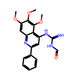 COc1cc2nc(-c3ccccc3)cc(NC(=N)NC=O)c2c(OC)c1OC